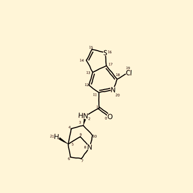 O=C(N[C@@H]1C[C@H]2CCN(C2)C1)c1cc2ccsc2c(Cl)n1